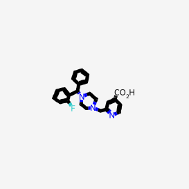 O=C(O)c1ccnc(CN2CCN(C(c3ccccc3)c3ccccc3F)CC2)c1